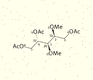 CO[C@H]([C@H](COC(C)=O)OC)[C@H](COC(C)=O)OC(C)=O